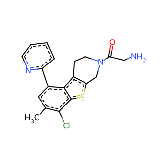 Cc1cc(-c2ccccn2)c2c3c(sc2c1Cl)CN(C(=O)CN)CC3